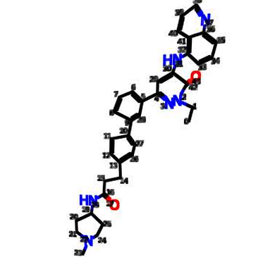 CCn1nc(-c2cccc(-c3ccc(CCC(=O)NC4CCN(C)CC4)cc3)c2)cc(Nc2cccc3ncccc23)c1=O